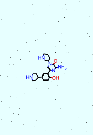 Nc1nc(-c2cc(C3CCNCC3)ccc2O)cn(C2CCCNC2)c1=O